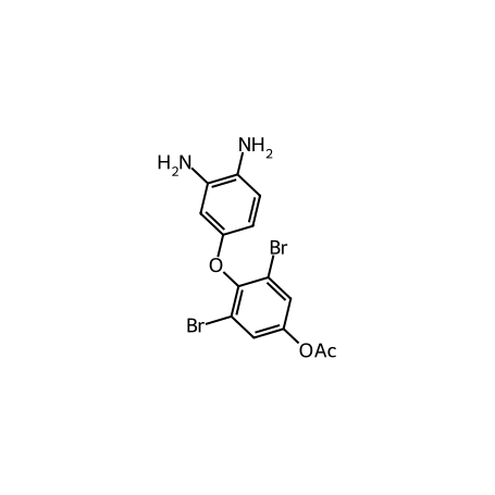 CC(=O)Oc1cc(Br)c(Oc2ccc(N)c(N)c2)c(Br)c1